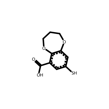 O=C(O)c1cc(S)cc2c1OCCCO2